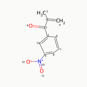 C=C(C)C(=O)c1[c]ccc([N+](=O)[O-])c1